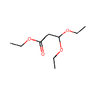 CCO[C](CC(=O)OCC)OCC